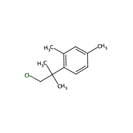 Cc1ccc(C(C)(C)CCl)c(C)c1